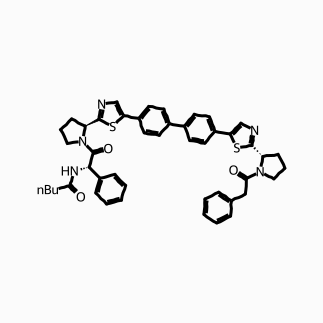 CCCCC(=O)N[C@H](C(=O)N1CCC[C@H]1c1ncc(-c2ccc(-c3ccc(-c4cnc([C@@H]5CCCN5C(=O)Cc5ccccc5)s4)cc3)cc2)s1)c1ccccc1